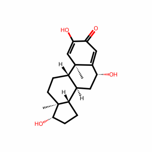 C[C@]12CC[C@H]3[C@@H](C[C@@H](O)C4=CC(=O)C(O)=C[C@@]43C)[C@@H]1CC[C@@H]2O